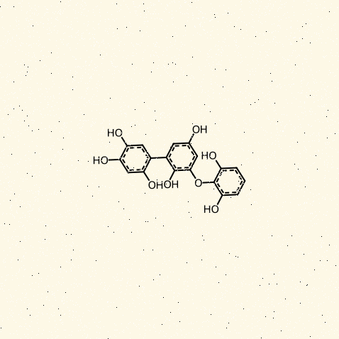 Oc1cc(Oc2c(O)cccc2O)c(O)c(-c2cc(O)c(O)cc2O)c1